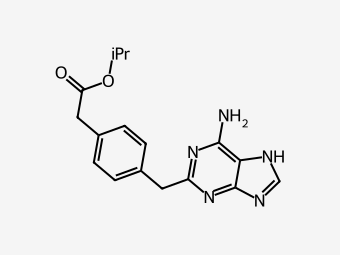 CC(C)OC(=O)Cc1ccc(Cc2nc(N)c3[nH]cnc3n2)cc1